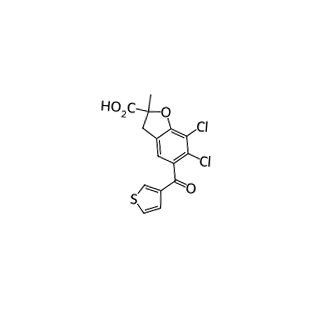 CC1(C(=O)O)Cc2cc(C(=O)c3ccsc3)c(Cl)c(Cl)c2O1